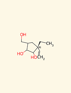 C=C[C@@]1(CC)CC(CO)C(O)C1O